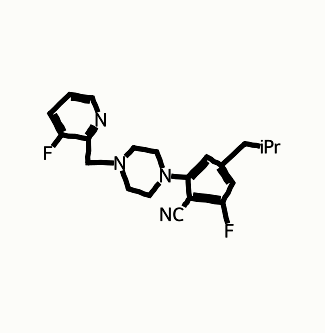 CC(C)Cc1cc(F)c(C#N)c(N2CCN(Cc3ncccc3F)CC2)c1